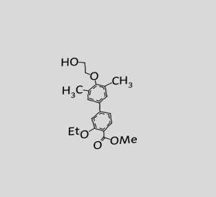 CCOc1cc(-c2cc(C)c(OCCO)c(C)c2)ccc1C(=O)OC